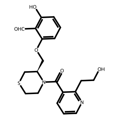 O=Cc1c(O)cccc1OC[C@@H]1CSCCN1C(=O)c1cccnc1CCO